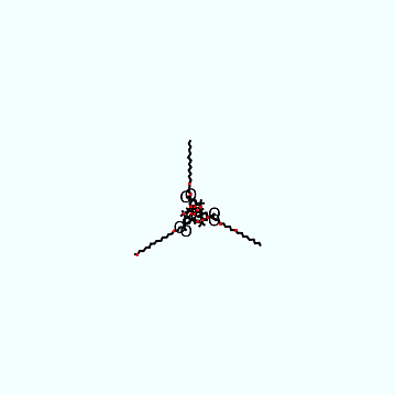 CCCCCCCCCCCCCCCCOC(=O)c1cc(C(C)(C)C)c(OP(Oc2c(C(C)(C)C)cc(C(=O)OCCCCCCCCCCCCCCCC)cc2C(C)(C)C)Oc2c(C(C)(C)C)cc(C(=O)OCCCCCCCCCCCCCCCC)cc2C(C)(C)C)c(C(C)(C)C)c1